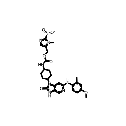 COc1ccc(Nc2cc3c(cn2)[nH]c(=O)n3C2CCC(NC(=O)OCc3cnc([N+](=O)[O-])n3C)CC2)c(C)c1